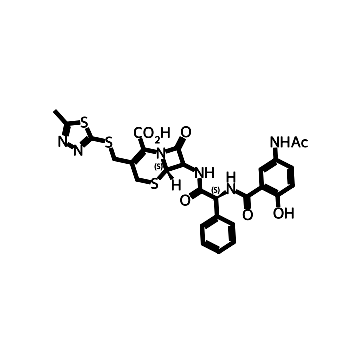 CC(=O)Nc1ccc(O)c(C(=O)N[C@H](C(=O)NC2C(=O)N3C(C(=O)O)=C(CSc4nnc(C)s4)CS[C@@H]23)c2ccccc2)c1